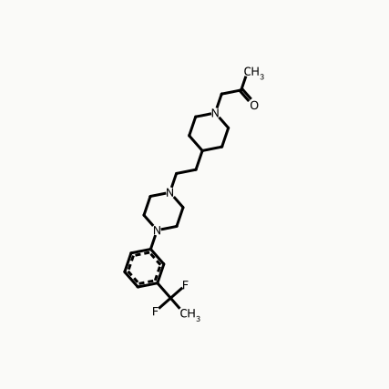 CC(=O)CN1CCC(CCN2CCN(c3cccc(C(C)(F)F)c3)CC2)CC1